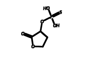 O=C1OCCC1OP(O)(O)=S